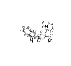 CCN1CCCc2cc(Br)cc(C[S+]([O-])c3nc4ccccc4[nH]3)c21